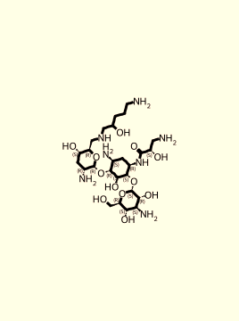 NCCCC(O)CNC[C@H]1O[C@H](O[C@H]2[C@H](O)[C@@H](O[C@H]3O[C@H](CO)[C@@H](O)[C@H](N)[C@H]3O)[C@H](NC(=O)[C@@H](O)CN)C[C@@H]2N)[C@H](N)C[C@@H]1O